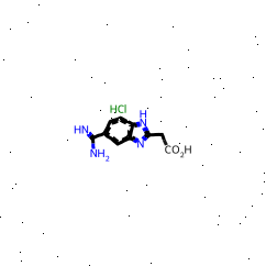 Cl.N=C(N)c1ccc2[nH]c(CC(=O)O)nc2c1